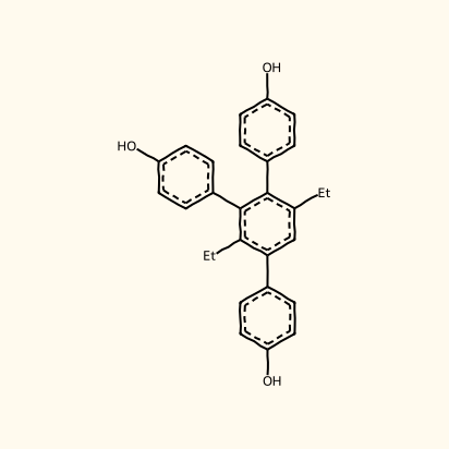 CCc1cc(-c2ccc(O)cc2)c(CC)c(-c2ccc(O)cc2)c1-c1ccc(O)cc1